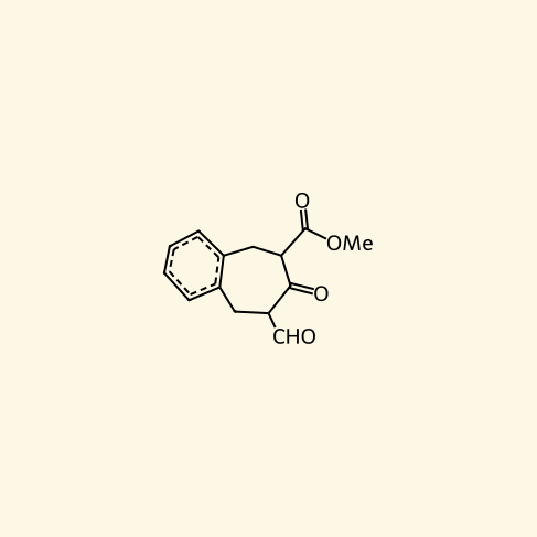 COC(=O)C1Cc2ccccc2CC(C=O)C1=O